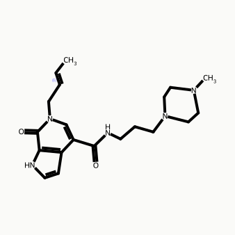 C/C=C/Cn1cc(C(=O)NCCCN2CCN(C)CC2)c2cc[nH]c2c1=O